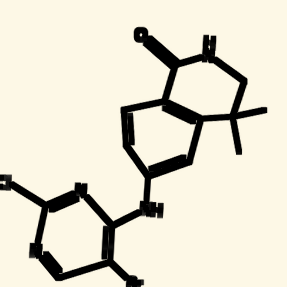 CC1(C)CNC(=O)c2ccc(Nc3nc(Cl)ncc3Br)cc21